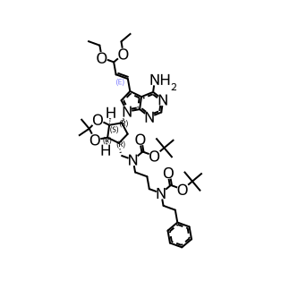 CCOC(/C=C/c1cn([C@@H]2C[C@H](CN(CCCN(CCc3ccccc3)C(=O)OC(C)(C)C)C(=O)OC(C)(C)C)[C@H]3OC(C)(C)O[C@H]32)c2ncnc(N)c12)OCC